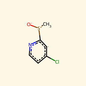 C[S+]([O-])c1[c]c(Cl)ccn1